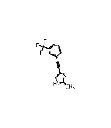 Cc1nc(C#Cc2cccc(C(F)(F)F)c2)c[nH]1